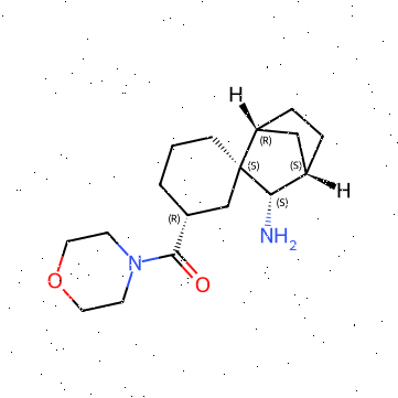 N[C@H]1[C@H]2CC[C@H](C2)[C@@]12CCC[C@@H](C(=O)N1CCOCC1)C2